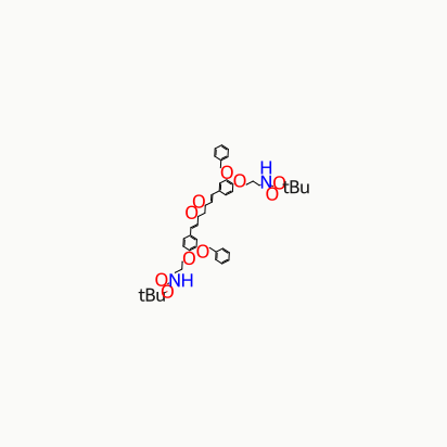 CC(C)(C)OC(=O)NCCCOc1ccc(/C=C/C(=O)CC(=O)/C=C/c2ccc(OCCCNC(=O)OC(C)(C)C)c(OCc3ccccc3)c2)cc1OCc1ccccc1